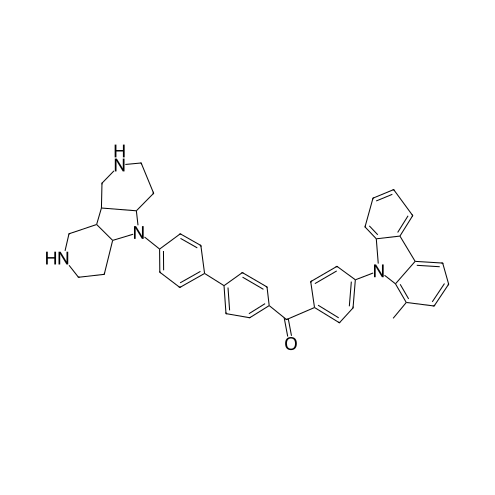 Cc1cccc2c3ccccc3n(-c3ccc(C(=O)c4ccc(-c5ccc(N6C7CCNCC7C7CNCCC76)cc5)cc4)cc3)c12